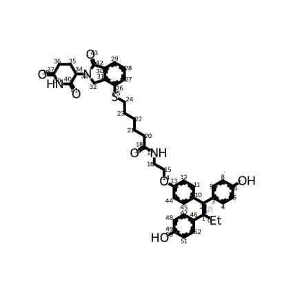 CC/C(=C(\c1ccc(O)cc1)c1ccc(OCCNC(=O)CCCCCSc2cccc3c2CN(C2CCC(=O)NC2=O)C3=O)cc1)c1ccc(O)cc1